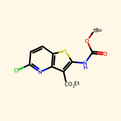 CCOC(=O)c1c(NC(=O)OC(C)(C)C)sc2ccc(Cl)nc12